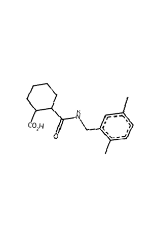 Cc1ccc(C)c(CNC(=O)C2CCCCC2C(=O)O)c1